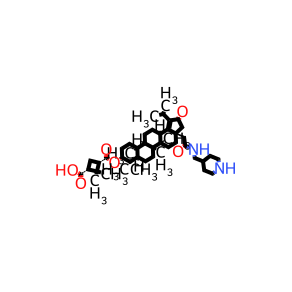 CC(C)C1=C2[C@H]3CC[C@@H]4[C@@]5(C)CC[C@H](OC(=O)[C@H]6C[C@@H](C(=O)O)C6(C)C)C(C)(C)[C@@H]5CC[C@@]4(C)[C@]3(C)CC[C@@]2(CC(=O)NCC2CCNCC2)CC1=O